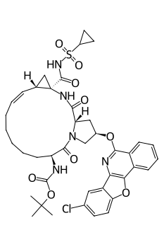 CC(C)(C)OC(=O)N[C@H]1CCCCC/C=C\[C@@H]2C[C@@]2(C(=O)NS(=O)(=O)C2CC2)NC(=O)[C@@H]2C[C@@H](Oc3nc4c5cc(Cl)ccc5oc4c4ccccc34)CN2C1=O